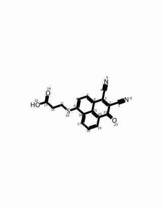 N#CC1=C(C#N)c2ccc(SCCC(=O)O)c3cccc(c23)C1=O